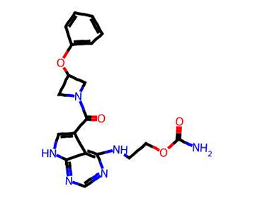 NC(=O)OCCNc1ncnc2[nH]cc(C(=O)N3CC(Oc4ccccc4)C3)c12